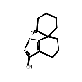 N#Cc1noc2c1CCCC21CCCCC1=O